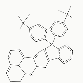 CC(C)(C)c1ccc(C2(c3ccc(C(C)(C)C)cc3)C3=C(CC4SC5CCC=C6C=CC=C(C4=C3)C65)c3ccccc32)cc1